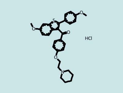 COc1ccc(-c2sc3cc(OC)ccc3c2C(=O)c2ccc(OCCN3CCCCC3)cc2)cc1.Cl